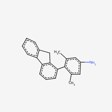 Cc1cc(N)cc(C)c1-c1cccc2c1Cc1ccccc1-2